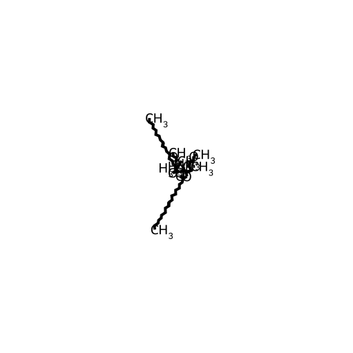 CCCCCCCCC=CCCCCCCCC(=O)OC(C[N+](C)(C)CCOC)C(C[N+](C)(C)CCOC)OC(=O)CCCCCCCC=CCCCCCCCC